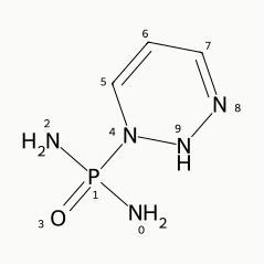 NP(N)(=O)N1C=CC=NN1